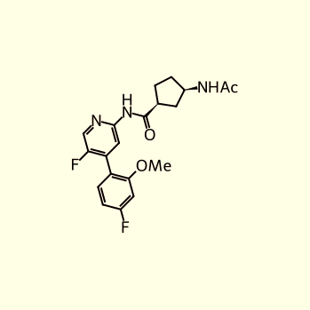 COc1cc(F)ccc1-c1cc(NC(=O)[C@H]2CC[C@@H](NC(C)=O)C2)ncc1F